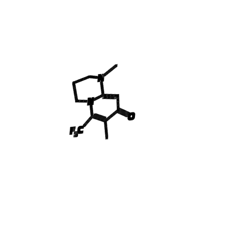 Cc1c(C(F)(F)F)n2c(cc1=O)N(C)CCC2